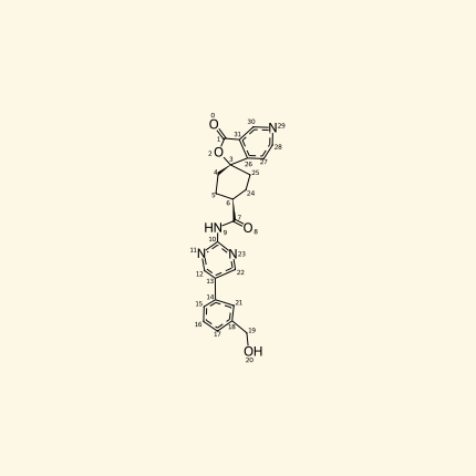 O=C1O[C@]2(CC[C@H](C(=O)Nc3ncc(-c4cccc(CO)c4)cn3)CC2)c2ccncc21